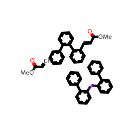 C=CC(=O)OC.COC(=O)C=Cc1ccccc1-c1ccccc1-c1ccccc1.c1ccc(-c2ccccc2[I+]c2ccccc2-c2ccccc2)cc1